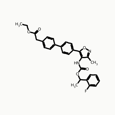 CCOC(=O)Cc1ccc(-c2ccc(-c3onc(C)c3NC(=O)OC(C)c3ccccc3F)cc2)cc1